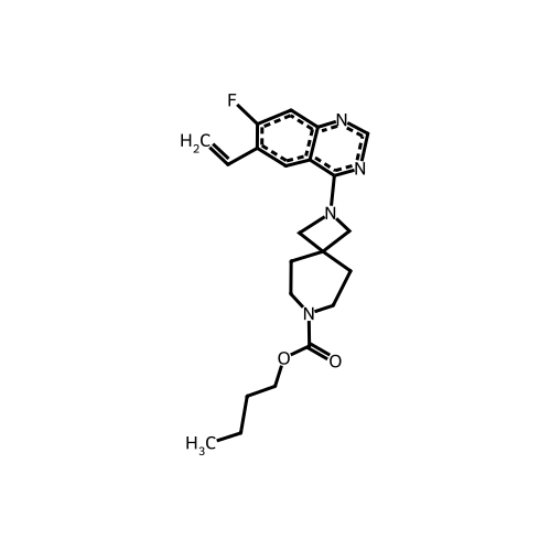 C=Cc1cc2c(N3CC4(CCN(C(=O)OCCCC)CC4)C3)ncnc2cc1F